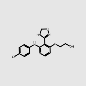 OCCOc1ccnc(Nc2ccc(Cl)cc2)c1C1=NOCN1